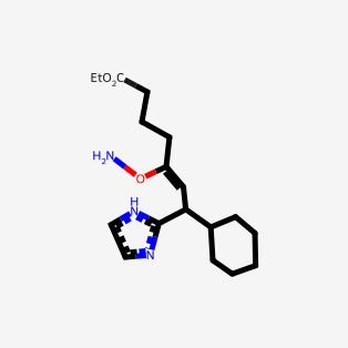 CCOC(=O)CCCC(=CC(c1ncc[nH]1)C1CCCCC1)ON